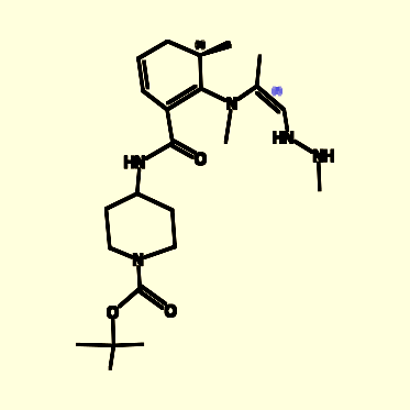 CNN/C=C(/C)N(C)C1=C(C(=O)NC2CCN(C(=O)OC(C)(C)C)CC2)C=CC[C@H]1C